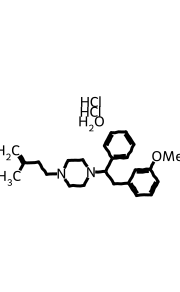 C=C(C)CCN1CCN(C(Cc2cccc(OC)c2)c2ccccc2)CC1.Cl.Cl.O